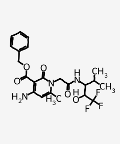 Cc1cc(N)c(C(=O)OCc2ccccc2)c(=O)n1CC(=O)NC(C(C)C)C(O)C(F)(F)F